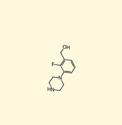 OCc1cccc(N2CCNCC2)c1F